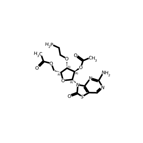 CC(=O)OC[C@H]1O[C@@H](n2c(=O)sc3cnc(N)nc32)[C@H](OC(C)=O)[C@H]1OCCP